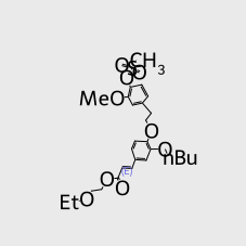 CCCCOc1cc(/C=C/C(=O)OCCOCC)ccc1OCCc1ccc(OS(C)(=O)=O)c(OC)c1